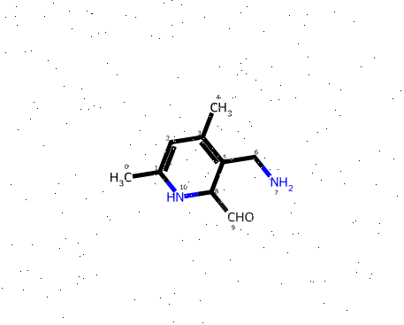 CC1=CC(C)=C(CN)C(C=O)N1